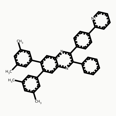 Cc1cc(C)cc(-c2cc3nc(-c4ccccc4)c(-c4ccc(-c5ccccn5)cc4)nc3cc2-c2cc(C)cc(C)c2)c1